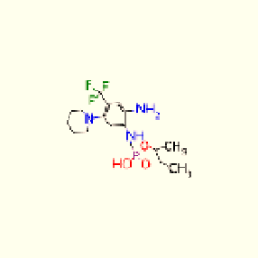 CCC(C)OP(=O)(O)CNc1cc(N2CCCCC2)c(C(F)(F)F)cc1N